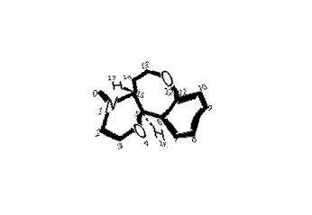 CN1CCO[C@@H]2c3ccccc3OCC[C@H]21